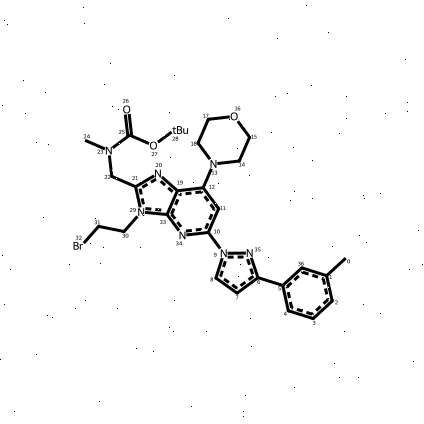 Cc1cccc(-c2ccn(-c3cc(N4CCOCC4)c4nc(CN(C)C(=O)OC(C)(C)C)n(CCBr)c4n3)n2)c1